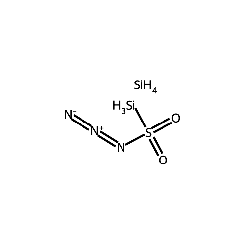 [N-]=[N+]=NS(=O)(=O)[SiH3].[SiH4]